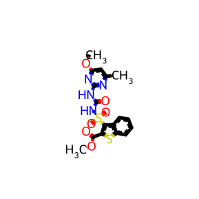 COC(=O)c1sc2ccccc2c1S(=O)(=O)NC(=O)Nc1nc(C)cc(OC)n1